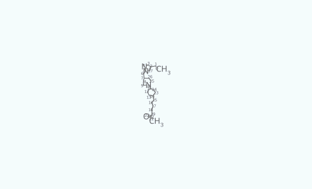 CCc1cnn(CC2CCN(C3CCC(CCCCCC(C)=O)CC3)CC2)c1